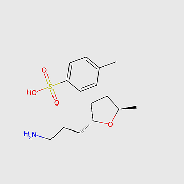 C[C@@H]1CC[C@@H](CCCN)O1.Cc1ccc(S(=O)(=O)O)cc1